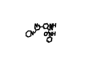 O=C(Nc1ccccc1)c1n[nH]c2ccc(-c3cncc(CN4CCCCCC4)c3)cc12